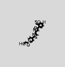 O=C(CO)N1CCC(c2nc(C3=NOC(c4ccccc4CS(=O)(=O)O)C3)cs2)CC1